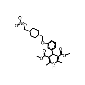 COC(=O)C1=C(C)NC(C)=C(C(=O)OC)C1c1cccc(OC[C@H]2CC[C@H](CO[N+](=O)[O-])CC2)c1